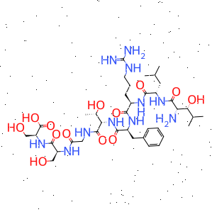 CC(C)C[C@H](NC(=O)[C@@H](N)[C@H](O)C(C)C)C(=O)N[C@H](CCCNC(=N)N)C(=O)N[C@@H](Cc1ccccc1)C(=O)N[C@H](C(=O)NCC(=O)N[C@@H](CO)C(=O)N[C@@H](CO)C(=O)O)[C@H](C)O